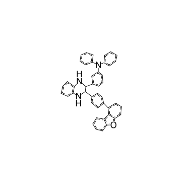 c1ccc(N(c2ccccc2)c2cccc(C3Nc4ccccc4NC3c3ccc(-c4cccc5oc6ccccc6c45)cc3)c2)cc1